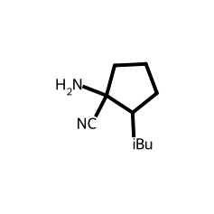 CCC(C)C1CCCC1(N)C#N